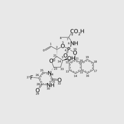 C=CC(O[P@](=O)(NC(C)C(=O)O)Oc1cccc2ccccc12)[C@H]1O[C@@H](n2cc(F)c(=O)[nH]c2=O)C[C@@H]1O